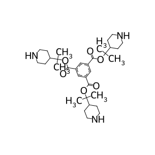 CC(C)(OC(=O)c1cc(C(=O)OC(C)(C)C2CCNCC2)cc(C(=O)OC(C)(C)C2CCNCC2)c1)C1CCNCC1